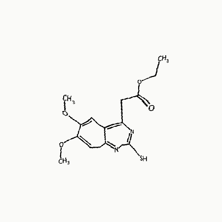 CCOC(=O)Cc1nc(S)nc2cc(OC)c(OC)cc12